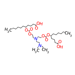 CCCCCCC(CCCC(=O)O)OC(=O)OCCN(CCOC(=O)OC(CCCCCC)CCCC(=O)O)CCN(CC)CC